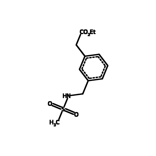 CCOC(=O)Cc1cccc(CNS(C)(=O)=O)c1